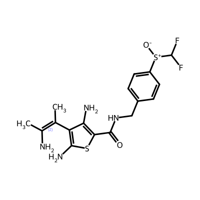 C/C(N)=C(\C)c1c(N)sc(C(=O)NCc2ccc([S+]([O-])C(F)F)cc2)c1N